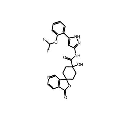 O=C1OC2(CCC(O)(C(=O)Nc3cc(-c4ccccc4OC(F)F)[nH]n3)CC2)c2cnccc21